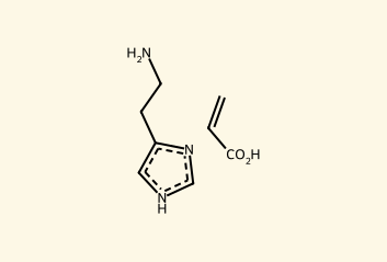 C=CC(=O)O.NCCc1c[nH]cn1